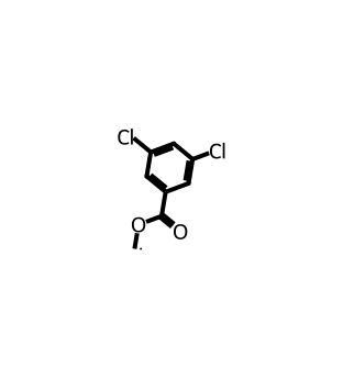 [CH2]OC(=O)c1cc(Cl)cc(Cl)c1